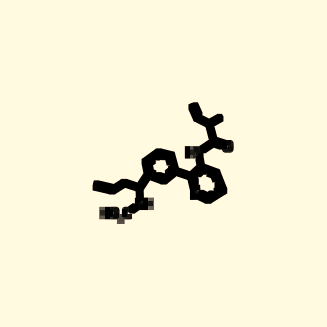 C=CCC(NC(=O)O)c1cccc(-c2ncccc2NC(=O)C(C)C=C)c1